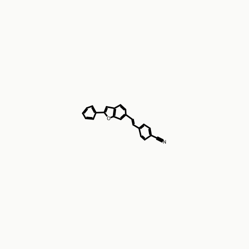 N#Cc1ccc(C=Cc2ccc3cc(-c4ccccc4)oc3c2)cc1